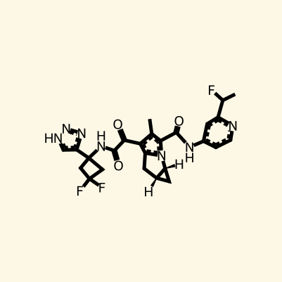 Cc1c(C(=O)C(=O)NC2(c3c[nH]nn3)CC(F)(F)C2)c2n(c1C(=O)Nc1ccnc(C(C)F)c1)[C@@H]1C[C@@H]1C2